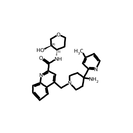 Cc1ccnc(C2(N)CCN(Cc3cc(C(=O)N[C@H]4CCOC[C@@H]4O)nc4ccccc34)CC2)c1